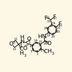 Cc1ccc(S(=O)(=O)NC2(C)COC2)cc1C(=O)Nc1ccc(F)c(C(F)F)c1